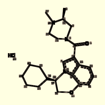 C[C@H]1CN(C(=O)c2cn3c4c(cccc24)OC[C@H]3C2CCCCC2)CCN1C.Cl